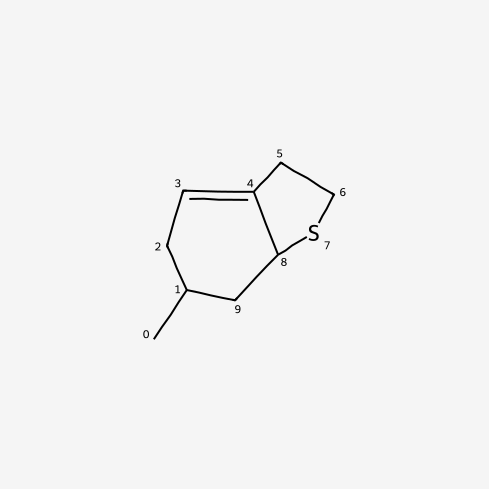 CC1CC=C2CCSC2C1